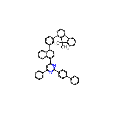 CC1(C)c2ccccc2-c2cccc(-c3cccc(-c4ccc(-c5cc(-c6ccccc6)nc(-c6ccc(-c7ccccc7)cc6)n5)c5ccccc45)c3)c21